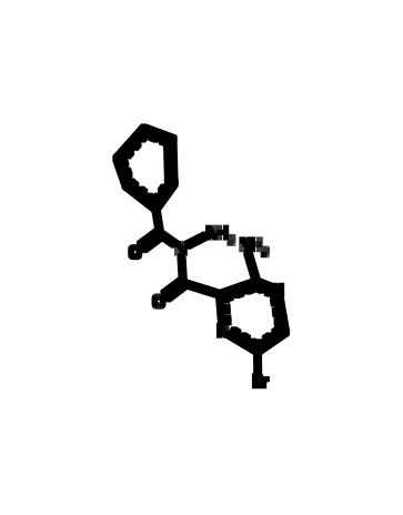 Nc1ncc(Br)nc1C(=O)N(N)C(=O)c1ccccc1